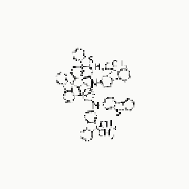 CC1(C)c2ccccc2-c2ccc(N(c3cc(-c4cccc5c4C4(c6ccccc6-c6ccccc64)c4ccccc4-5)cc(N(c4ccc5c(c4)C(C)(C)c4ccccc4-5)c4ccc5c(c4)sc4ccccc45)c3)c3ccc4c(c3)sc3ccccc34)cc21